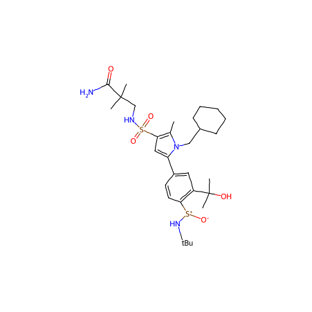 Cc1c(S(=O)(=O)NCC(C)(C)C(N)=O)cc(-c2ccc([S+]([O-])NC(C)(C)C)c(C(C)(C)O)c2)n1CC1CCCCC1